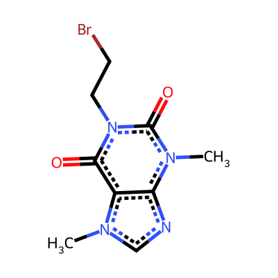 Cn1cnc2c1c(=O)n(CCBr)c(=O)n2C